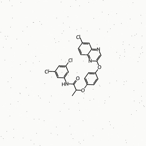 CC(Oc1ccc(Oc2cnc3cc(Cl)ccc3n2)cc1)C(=O)Nc1cc(Cl)cc(Cl)c1